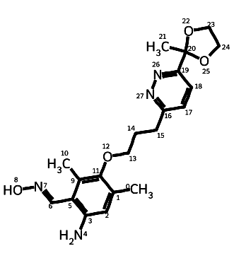 Cc1cc(N)c(C=NO)c(C)c1OCCCc1ccc(C2(C)OCCO2)nn1